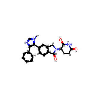 Cn1cnc(-c2ccccc2)c1-c1ccc2c(c1)CN(C1CCC(=O)NC1=O)C2=O